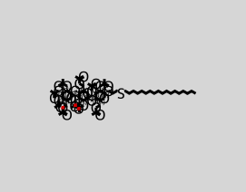 CCCCCCCCCCCCCCCCCCSCCO[C@H]1O[C@H](COC(C)=O)[C@@H](O[C@@H]2O[C@H](COC(C)=O)[C@H](O[C@@H]3O[C@H](COC(C)=O)[C@H](OC(C)=O)[C@H](OC(C)=O)[C@H]3OC(C)=O)[C@H](OC(C)=O)[C@H]2OC(C)=O)[C@H](OC(C)=O)[C@H]1OC(C)=O